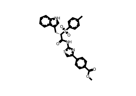 COC(=O)c1ccc(-c2csc(NC(=O)[C@H](Cc3c[nH]c4ccccc34)S(=O)(=O)c3ccc(C)cc3)n2)cc1